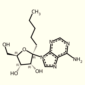 CCCCC[C@@]1(n2cnc3c(N)ncnc32)O[C@H](CO)[C@@H](O)[C@H]1O